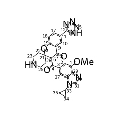 COc1cc(C(=O)[C@@H]2C(=O)c3cc(-c4nnn[nH]4)ccc3OC23CCNCC3)cc2c1ncn2C1CC1